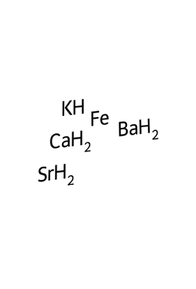 [BaH2].[CaH2].[Fe].[KH].[SrH2]